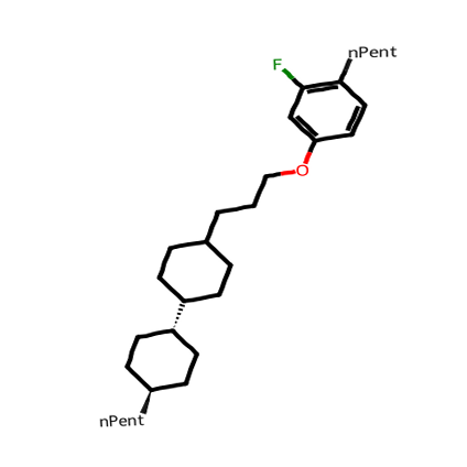 CCCCCc1ccc(OCCCC2CCC([C@H]3CC[C@H](CCCCC)CC3)CC2)cc1F